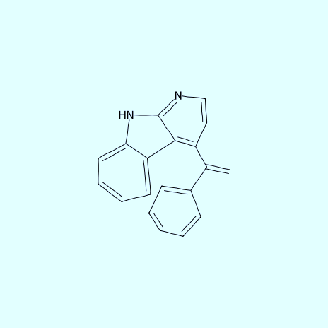 C=C(c1ccccc1)c1ccnc2[nH]c3ccccc3c12